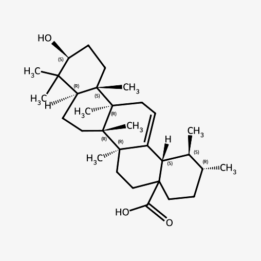 C[C@H]1[C@H](C)CCC2(C(=O)O)CC[C@]3(C)C(=CC[C@@]4(C)[C@@]3(C)CC[C@H]3C(C)(C)[C@@H](O)CC[C@@]34C)[C@H]12